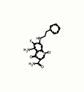 CCn1cc(C(N)=O)c(=O)c2c(N)c(F)c(NCCc3ccccc3)cc21